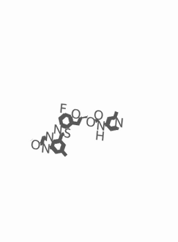 COc1cnc2c(-c3nc4cc(F)c5c(c4s3)C[C@H](COC(=O)Nc3ccnc(C)c3)O5)cc(C)cc2n1